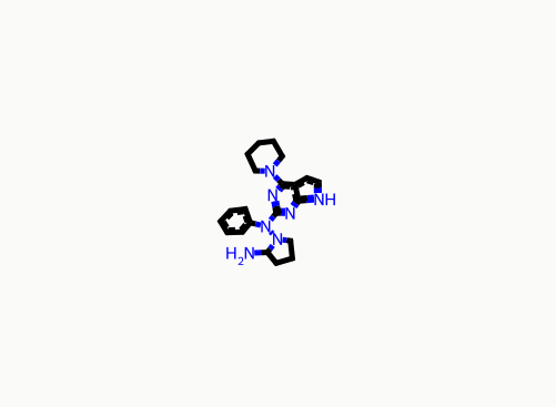 NC1CCCN1N(c1ccccc1)c1nc(N2CCCCC2)c2cc[nH]c2n1